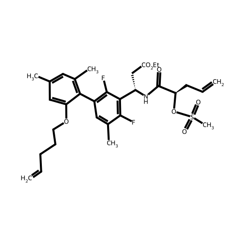 C=CCCCOc1cc(C)cc(C)c1-c1cc(C)c(F)c([C@H](CC(=O)OCC)NC(=O)[C@@H](CC=C)OS(C)(=O)=O)c1F